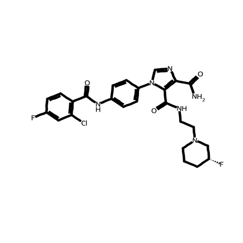 NC(=O)c1ncn(-c2ccc(NC(=O)c3ccc(F)cc3Cl)cc2)c1C(=O)NCCN1CCC[C@@H](F)C1